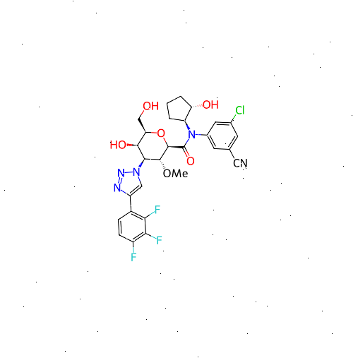 CO[C@@H]1[C@@H](n2cc(-c3ccc(F)c(F)c3F)nn2)[C@@H](O)[C@@H](CO)O[C@H]1C(=O)N(c1cc(Cl)cc(C#N)c1)[C@H]1CCC[C@@H]1O